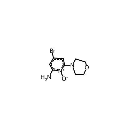 Nc1cc(Br)cc(N2CCOCC2)[n+]1[O-]